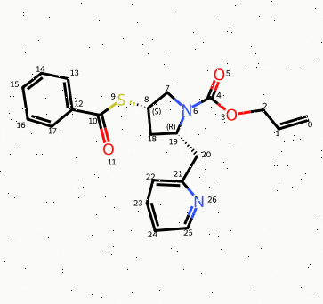 C=CCOC(=O)N1C[C@@H](SC(=O)c2ccccc2)C[C@H]1Cc1ccccn1